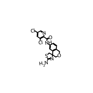 NC1=NC2(COCc3ccc(NC(=O)c4ncc(Cl)cc4Cl)cc32)CS1